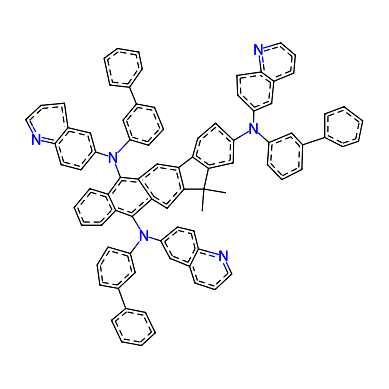 CC1(C)c2cc(N(c3cccc(-c4ccccc4)c3)c3ccc4ncccc4c3)ccc2-c2cc3c(N(c4cccc(-c5ccccc5)c4)c4ccc5ncccc5c4)c4ccccc4c(N(c4cccc(-c5ccccc5)c4)c4ccc5ncccc5c4)c3cc21